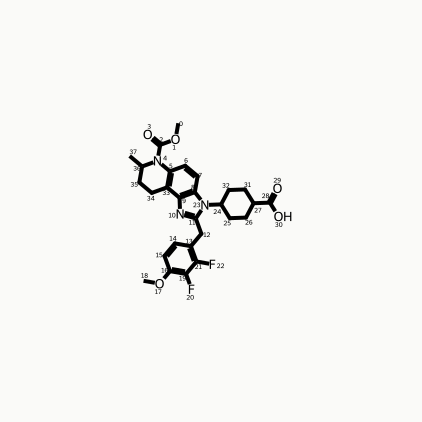 COC(=O)N1c2ccc3c(nc(Cc4ccc(OC)c(F)c4F)n3C3CCC(C(=O)O)CC3)c2CCC1C